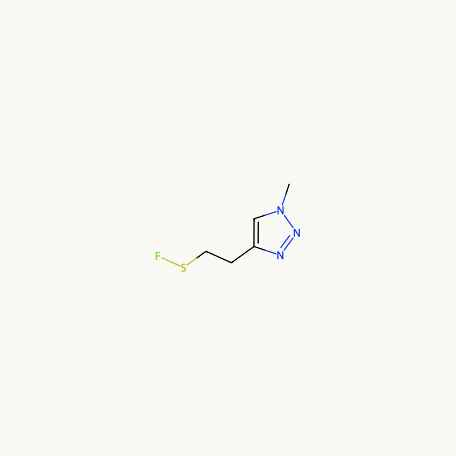 Cn1cc(CCSF)nn1